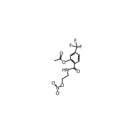 CC(=O)Oc1cc(C(F)(F)F)ccc1C(=O)NCCO[N+](=O)[O-]